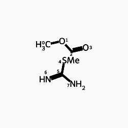 COC=O.CSC(=N)N